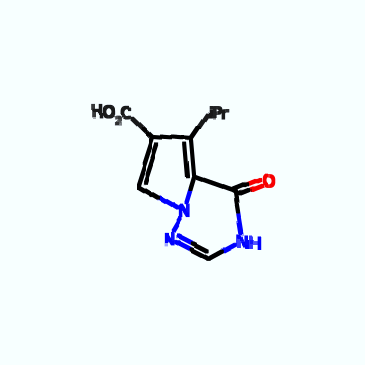 CC(C)c1c(C(=O)O)cn2nc[nH]c(=O)c12